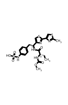 CC[C@H](NC(=O)OC)C(=O)N[C@@H](Cc1ccc(NS(=O)(=O)O)cc1)c1csc(-c2csc(C)n2)n1